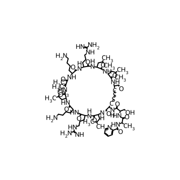 CC(C)CC1NC(=O)C(CC(C)C)NC(=O)C(CCCNC(=N)N)NC(=O)C(CCCCN)NC(=O)C(C)(C)NC(=O)C(CC(C)C)NC(=O)C(CCCCN)NC(=O)C(CCCNC(=N)N)NC(=O)C(CC(C)C)NC(=O)C(NC(=O)C(CO)NC(=O)C(C)NC(=O)c2ccccn2)CSSCC(C=O)NC1=O